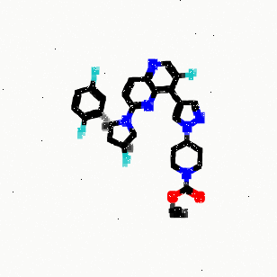 CC(C)(C)OC(=O)N1CCC(n2cc(-c3c(F)cnc4ccc(N5C[C@@H](F)C[C@@H]5c5cc(F)ccc5F)nc34)cn2)CC1